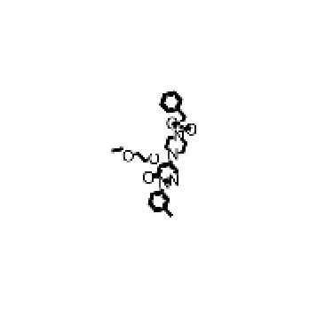 CCOCCOc1c(N2CCN(S(=O)(=O)Cc3ccccc3)CC2)cnn(-c2cccc(C)c2)c1=O